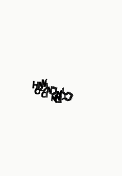 C[C@@H](c1ccccc1Cl)n1nnc2c1CCN(c1cn[nH]c(=O)c1Cl)C2